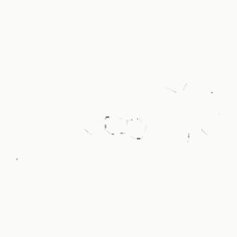 C=C(CO)C(=O)OCC(COC(=O)C(=C)CO)c1ccc2cc(C3=CCC(C4CCC(CCC)CC4)CC3)ccc2c1